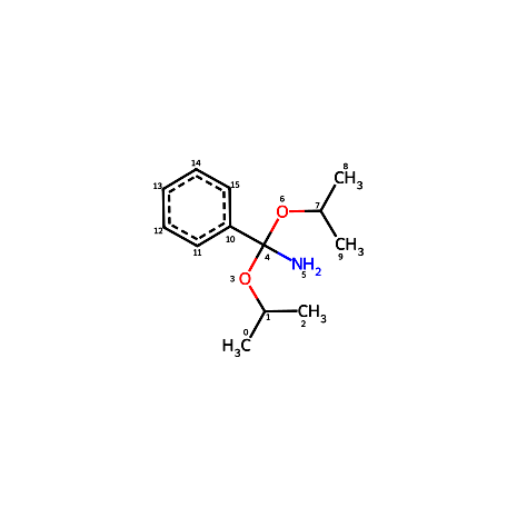 CC(C)OC(N)(OC(C)C)c1ccccc1